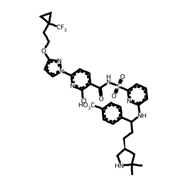 CC1(C)C[C@H](CCC(Nc2cccc(S(=O)(=O)NC(=O)c3ccc(-n4ccc(OCCC5(C(F)(F)F)CC5)n4)nc3Cl)n2)c2ccc(C(=O)O)cc2)CN1